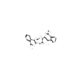 COC(=O)c1ccccc1/C=C/c1nc2nc3c4ccccc4c(=O)[nH]c3n2nc1C